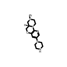 CC(C)N1CCN2c3ncc(N4CCNCC4)cc3OC[C@@H]2C1